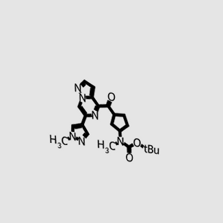 CN(C(=O)OC(C)(C)C)C1CCC(C(=O)c2nc(-c3cnn(C)c3)cn3nccc23)C1